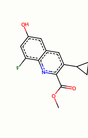 COC(=O)c1nc2c(F)cc(O)cc2cc1C1CC1